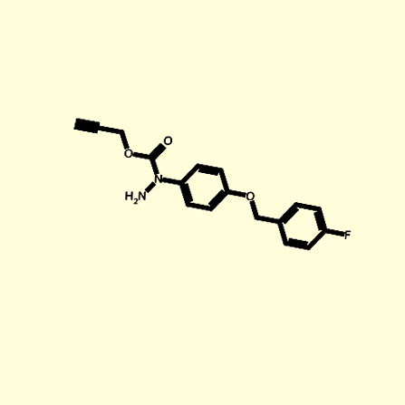 C#CCOC(=O)N(N)c1ccc(OCc2ccc(F)cc2)cc1